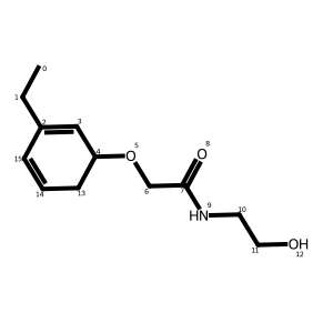 CCC1=CC(OCC(=O)NCCO)CC=C1